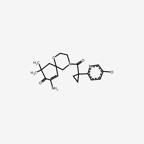 CC1(C)CC2(C=C(N)C1=O)CN(C(=O)C1(c3ccc(Cl)cn3)CC1)CCO2